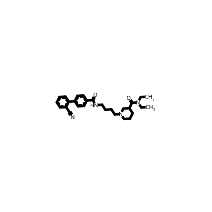 CCN(CC)C(=O)C1CCCN(CCCCNC(=O)c2ccc(-c3ccccc3C#N)cc2)C1